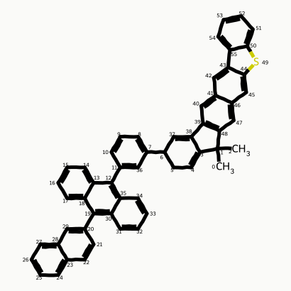 CC1(C)C2=CCC(c3cccc(-c4c5ccccc5c(-c5ccc6ccccc6c5)c5ccccc45)c3)C=C2c2cc3cc4c(cc3cc21)sc1ccccc14